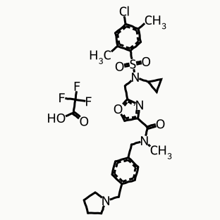 Cc1cc(S(=O)(=O)N(Cc2nc(C(=O)N(C)Cc3ccc(CN4CCCC4)cc3)co2)C2CC2)c(C)cc1Cl.O=C(O)C(F)(F)F